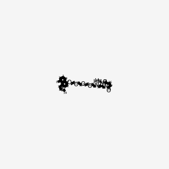 Cc1cccc2c(OCCOCCOCCOCCN/C=C(/CN3C(=O)C=CC3=O)N=N)cc3c(c12)CCN3C